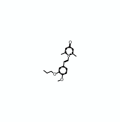 CCCOc1cc(/C=C/n2c(C)cc(=O)cc2C)ccc1OC